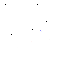 O=CC(=O)C1c2ccccc2CN1CCOc1cccc(O)c1